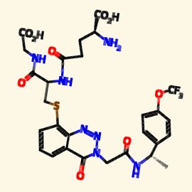 C[C@H](NC(=O)Cn1nnc2c(SCC(NC(=O)CC[C@H](N)C(=O)O)C(=O)NCC(=O)O)cccc2c1=O)c1ccc(OC(F)(F)F)cc1